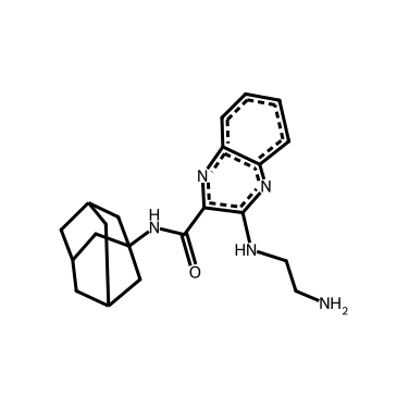 NCCNc1nc2ccccc2nc1C(=O)NC12CC3CC(CC(C3)C1)C2